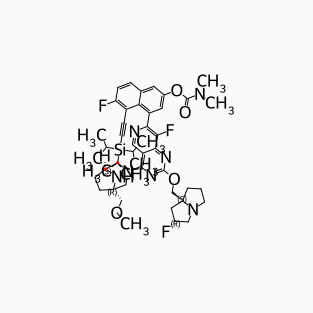 COC[C@@]12CC[C@@H](CN(c3nc(OC[C@@]45CCCN4C[C@H](F)C5)nc4c(F)c(-c5cc(OC(=O)N(C)C)cc6ccc(F)c(C#C[Si](C(C)C)(C(C)C)C(C)C)c56)ncc34)C1)N2